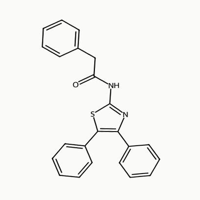 O=C(Cc1ccccc1)Nc1nc(-c2ccccc2)c(-c2ccccc2)s1